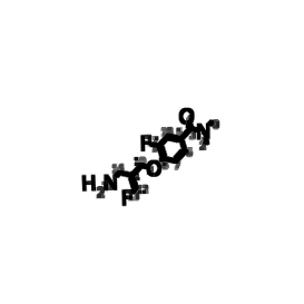 CN(C)C(=O)c1ccc(OCC(=CF)CN)c(F)c1